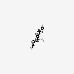 Cc1c(C(=O)Nc2ccc(-c3nc(-c4ccnc(N5CC(CN(C)C)C5)c4)cnc3N)cc2)c(=O)n(-c2cccc(Cl)c2)n1C